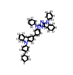 c1ccc(-c2ccc(-n3c4ccccc4c4cc(-c5ccc6c(c5)n(-c5ccccc5)c5nc7c(c8ccccc8n7-c7ccccc7)n65)ccc43)cc2)cc1